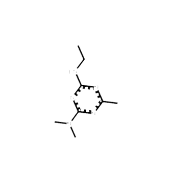 CCNc1nc(C)nc(N(C)C)n1